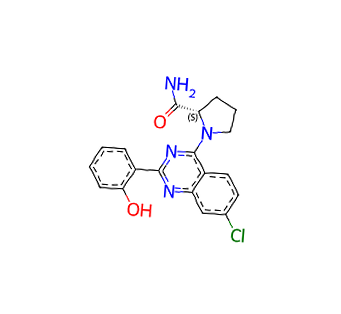 NC(=O)[C@@H]1CCCN1c1nc(-c2ccccc2O)nc2cc(Cl)ccc12